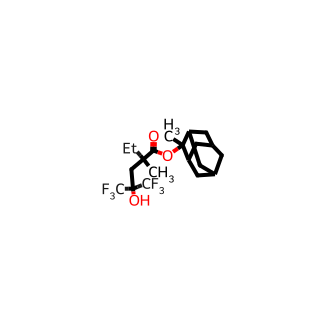 CCC(C)(CC(O)(C(F)(F)F)C(F)(F)F)C(=O)OC1(C)C2CC3CC(C2)CC1C3